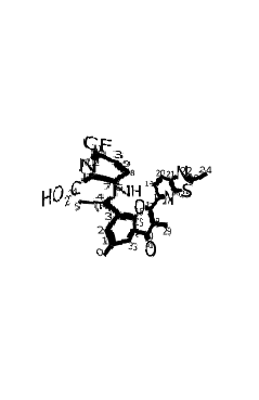 Cc1cc([C@@H](C)Nc2ccc(C(F)(F)F)nc2C(=O)O)c2oc(-c3ccc4nc(C)sc4n3)c(C)c(=O)c2c1